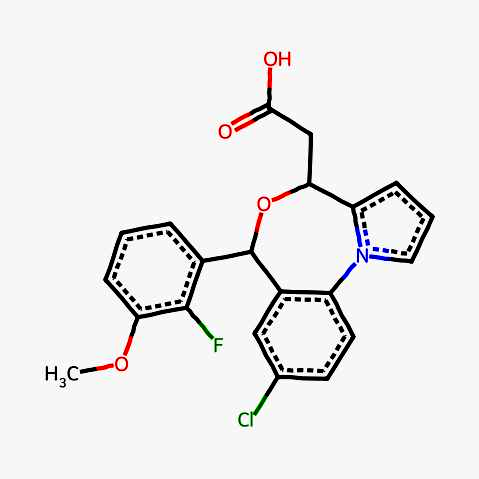 COc1cccc(C2OC(CC(=O)O)c3cccn3-c3ccc(Cl)cc32)c1F